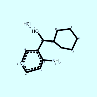 Cl.Nc1ccncc1C(O)C1CCCCC1